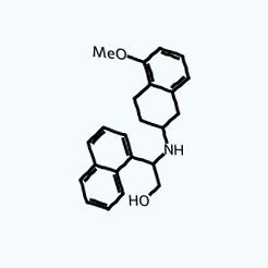 COc1cccc2c1CCC(NC(CO)c1cccc3ccccc13)C2